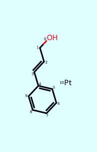 OCC=Cc1ccccc1.[Pt]